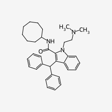 CN(C)CCn1c(C(=O)NC2CCCCCCC2)c(C(c2ccccc2)c2ccccc2)c2ccccc21